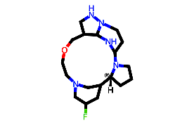 FC1CC2CN(CCOCC3CNN4CCC(NC34)N3CCC[C@H]23)C1